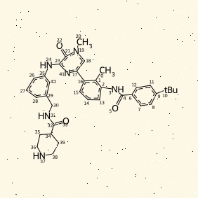 Cc1c(NC(=O)c2ccc(C(C)(C)C)cc2)cccc1-c1cn(C)c(=O)c(Nc2cccc(CNC(=O)C3CCNCC3)c2)n1